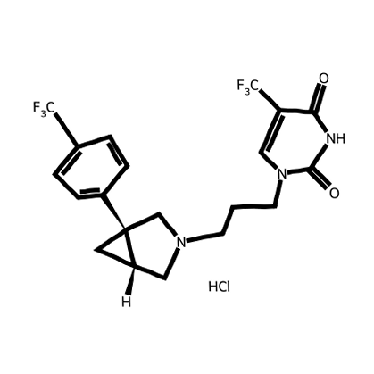 Cl.O=c1[nH]c(=O)n(CCCN2C[C@@H]3C[C@]3(c3ccc(C(F)(F)F)cc3)C2)cc1C(F)(F)F